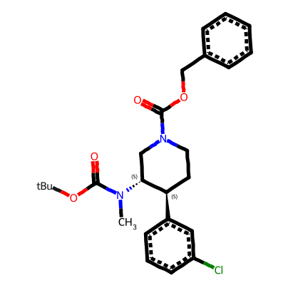 CN(C(=O)OC(C)(C)C)[C@@H]1CN(C(=O)OCc2ccccc2)CC[C@H]1c1cccc(Cl)c1